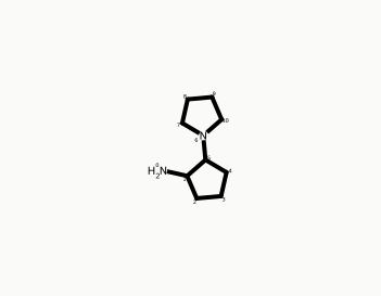 NC1CCCC1N1CCCC1